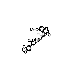 COc1ccc2ncc(=O)n(C[C@H](O)CNC[C@@H]3CN(c4ccc5c(c4)OCCO5)C(=O)O3)c2n1